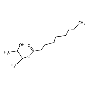 CCCCCCCCC(=O)OC(C)C(C)O